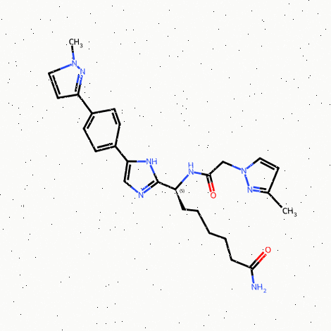 Cc1ccn(CC(=O)N[C@@H](CCCCCC(N)=O)c2ncc(-c3ccc(-c4ccn(C)n4)cc3)[nH]2)n1